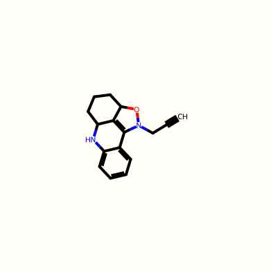 C#CCN1OC2CCCC3Nc4ccccc4C1=C32